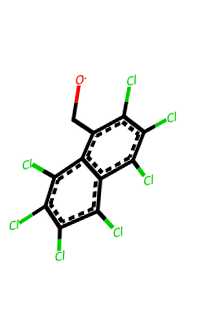 [O]Cc1c(Cl)c(Cl)c(Cl)c2c(Cl)c(Cl)c(Cl)c(Cl)c12